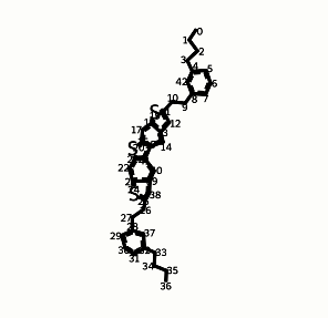 CCCCc1cccc(CCc2cc3cc4c(cc3s2)sc2cc3sc(CCc5cccc(CCCC)c5)cc3cc24)c1